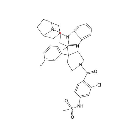 Cc1nc2ccccc2n1C1CC2CCC(C1)N2CCCC1(c2cccc(F)c2)CCN(C(=O)c2ccc(NS(C)(=O)=O)cc2Cl)CC1